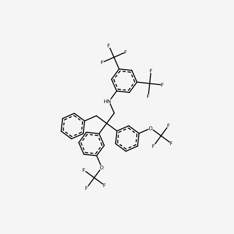 FC(F)(F)Oc1cccc(C(CNc2cc(C(F)(F)F)cc(C(F)(F)F)c2)(Cc2ccccc2)c2cccc(OC(F)(F)F)c2)c1